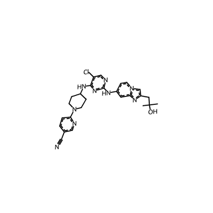 CC(C)(O)Cc1cn2ccc(Nc3ncc(Cl)c(NC4CCN(c5ccc(C#N)cn5)CC4)n3)cc2n1